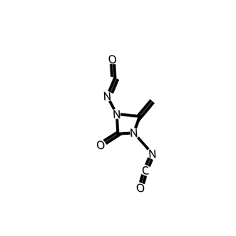 C=C1N(N=C=O)C(=O)N1N=C=O